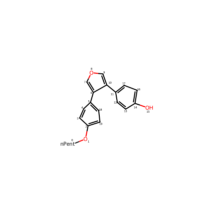 CCCCCOc1ccc(-c2cocc2-c2ccc(O)cc2)cc1